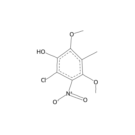 COc1c(C)c(OC)c([N+](=O)[O-])c(Cl)c1O